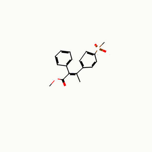 COC(=O)/C(=C(\C)c1ccc(S(C)(=O)=O)cc1)c1ccccc1